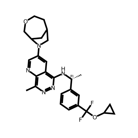 Cc1nnc(N[C@H](C)c2cccc(C(F)(F)OC3CC3)c2)c2cc(N3CC4CCOCC3C4)cnc12